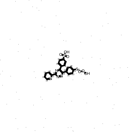 O=S(=O)(O)c1ccc(-c2nc(-c3ccccn3)nnc2-c2ccc(SOOO)cc2)cc1